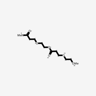 CNC(=O)CCOCCOC(=O)CCOCCOC